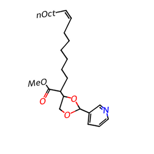 CCCCCCCC/C=C\CCCCCCC(C(=O)OC)C1COC(c2cccnc2)O1